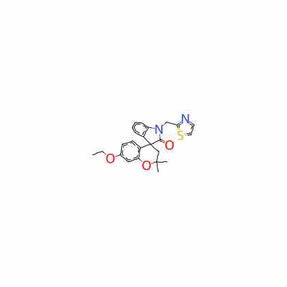 CCOc1ccc2c(c1)OC(C)(C)CC21C(=O)N(Cc2nccs2)c2ccccc21